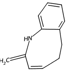 C=C1/C=C\CCc2ccccc2N1